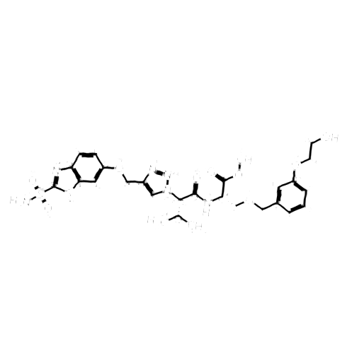 COC(=O)[C@H](COCc1cccc(OCCO)c1)NC(=O)[C@H](C(C)C)n1cc(COc2ccc3nc(S(N)(=O)=O)sc3c2)nn1